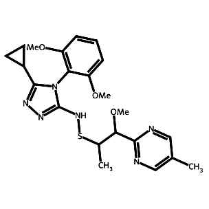 COc1cccc(OC)c1-n1c(NSC(C)C(OC)c2ncc(C)cn2)nnc1C1CC1